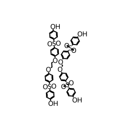 O=S(=O)(c1ccc(O)cc1)c1ccc(OCCOc2ccc(S(=O)(=O)c3ccc(O)cc3)cc2)cc1.O=S(=O)(c1ccc(O)cc1)c1ccc(OCOc2ccc(S(=O)(=O)c3ccc(O)cc3)cc2)cc1